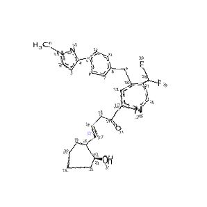 Cn1ccc(-c2ccc(Cc3cc(C(=O)C/C=C/C4CCCC[C@@H]4O)ncc3C(F)F)cc2)n1